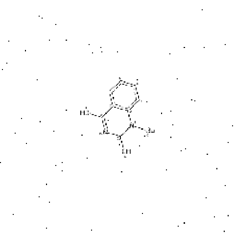 CC(C)(C)N1c2ccccc2C(O)=NC1O